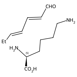 CCC=CC=CC=O.NCCCC[C@H](N)C(=O)O